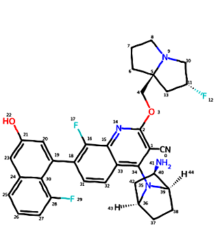 N#Cc1c(OC[C@@]23CCCN2C[C@H](F)C3)nc2c(F)c(-c3cc(O)cc4cccc(F)c34)ccc2c1N1[C@H]2CC[C@@H]1[C@H](N)C2